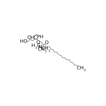 CCCCCCCCCCCCCCCCCC(=O)C(COc1[pH]ccc1CC(O)CO)[N+](C)(C)C